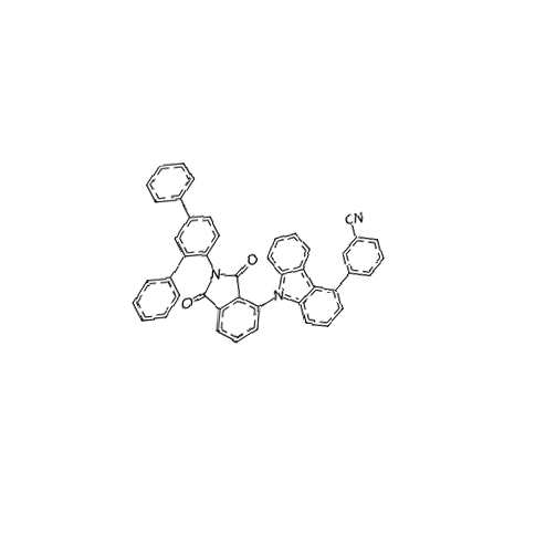 N#Cc1cccc(-c2cccc3c2c2ccccc2n3-c2cccc3c2C(=O)N(c2ccc(-c4ccccc4)cc2-c2ccccc2)C3=O)c1